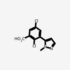 Cn1nccc1-c1cc(Cl)cc(C(=O)O)c1Cl